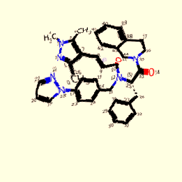 Cc1nn(C)c(C)c1/C=C/C(=O)N(Cc1ccc(-n2cccn2)cc1)[C@@H](Cc1ccccc1)C(=O)N1CCc2ccccc2C1